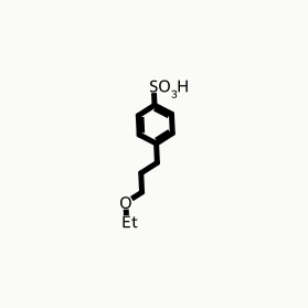 CCOCCCc1ccc(S(=O)(=O)O)cc1